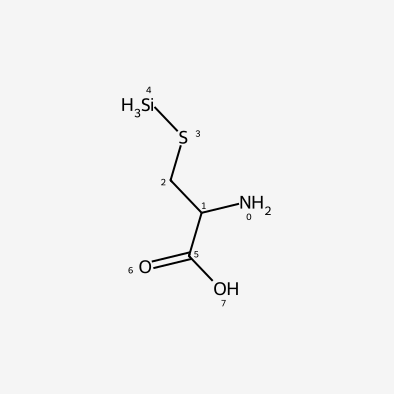 NC(CS[SiH3])C(=O)O